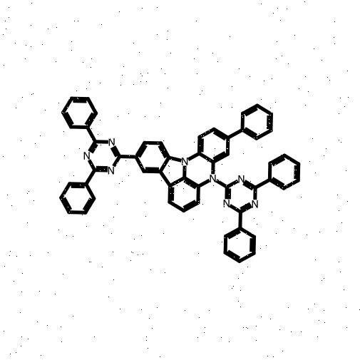 c1ccc(-c2ccc3c(c2)N(c2nc(-c4ccccc4)nc(-c4ccccc4)n2)c2cccc4c5cc(-c6nc(-c7ccccc7)nc(-c7ccccc7)n6)ccc5n-3c24)cc1